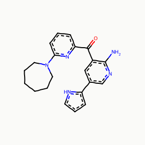 Nc1ncc(-c2ccc[nH]2)cc1C(=O)c1cccc(N2CCCCCC2)n1